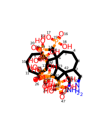 NCC1CCCC(C2CCCCCC2)(C(P(=O)(O)O)P(=O)(O)O)C(C(P(=O)(O)O)P(=O)(O)O)(C(P(=O)(O)O)P(=O)(O)O)C1(CN)C(P(=O)(O)O)P(=O)(O)O